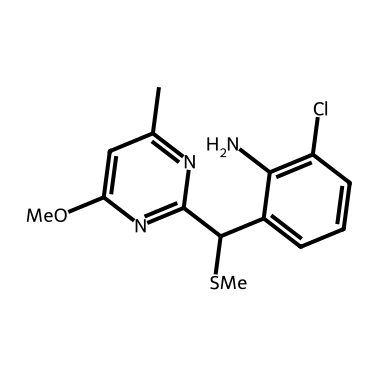 COc1cc(C)nc(C(SC)c2cccc(Cl)c2N)n1